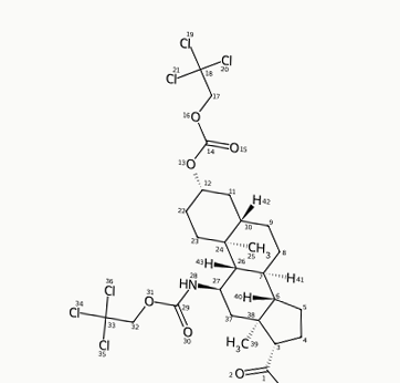 CC(=O)[C@H]1CC[C@H]2[C@@H]3CC[C@H]4C[C@@H](OC(=O)OCC(Cl)(Cl)Cl)CC[C@]4(C)[C@H]3[C@H](NC(=O)OCC(Cl)(Cl)Cl)C[C@]12C